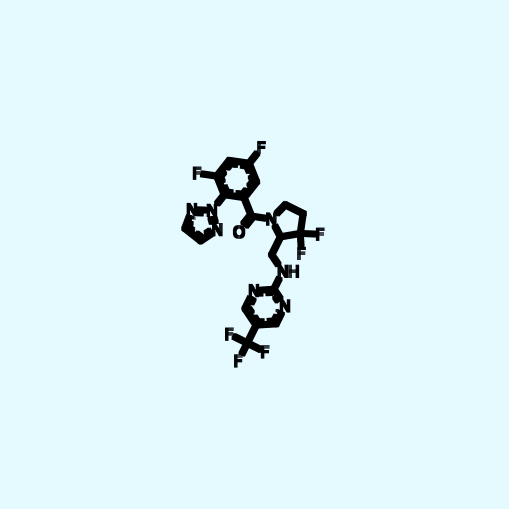 O=C(c1cc(F)cc(F)c1-n1nccn1)N1CCC(F)(F)C1CNc1ncc(C(F)(F)F)cn1